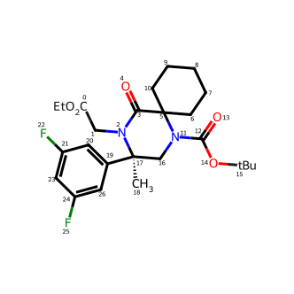 CCOC(=O)CN1C(=O)C2(CCCCC2)N(C(=O)OC(C)(C)C)C[C@@]1(C)c1cc(F)cc(F)c1